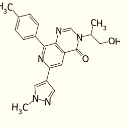 Cc1ccc(-c2nc(-c3cnn(C)c3)cc3c(=O)n(C(C)CO)cnc23)cc1